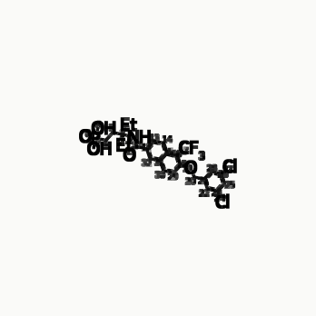 CCC(CC)(CCP(=O)(O)O)NC(=O)c1ccc2c(C(F)(F)F)c(OCc3cc(Cl)cc(Cl)c3)ccc2c1